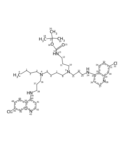 CCCCN(CCCCN(CCCNC(=O)OC(C)(C)C)CCCNc1ccnc2cc(Cl)ccc12)CCCNc1ccnc2cc(Cl)ccc12